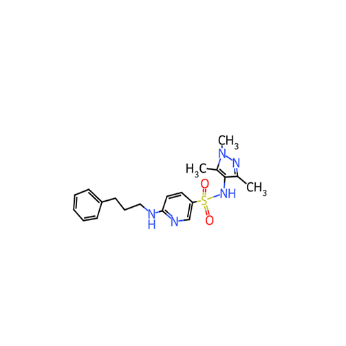 Cc1nn(C)c(C)c1NS(=O)(=O)c1ccc(NCCCc2ccccc2)nc1